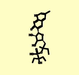 CCC(C)(C[C@H]1O[C@@H](c2cc3cc(C)c[nH]c-3nc2=O)[C@@H](O)C1O)OP(=O)(O)C(O)(CC)CC